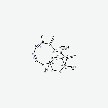 C=C1/C(C)=C\C=C/C[C@@H]2CC[C@]3(O)C[C@]2(CC3=C)[C@H]1C(=O)O